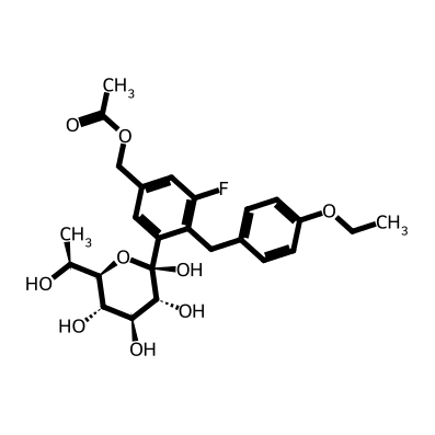 CCOc1ccc(Cc2c(F)cc(COC(C)=O)cc2[C@@]2(O)O[C@H]([C@H](C)O)[C@@H](O)[C@H](O)[C@H]2O)cc1